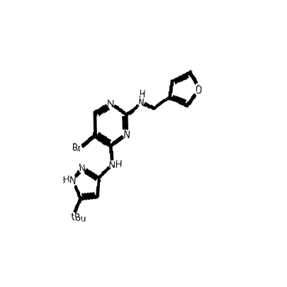 CC(C)(C)c1cc(Nc2nc(NCc3ccoc3)ncc2Br)n[nH]1